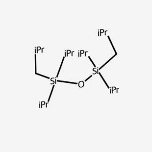 CC(C)C[Si](O[Si](CC(C)C)(C(C)C)C(C)C)(C(C)C)C(C)C